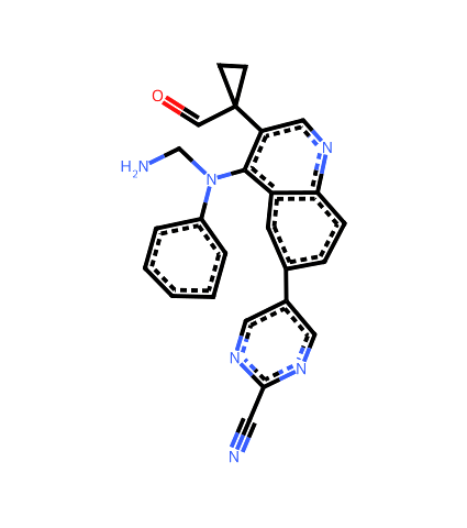 N#Cc1ncc(-c2ccc3ncc(C4(C=O)CC4)c(N(CN)c4ccccc4)c3c2)cn1